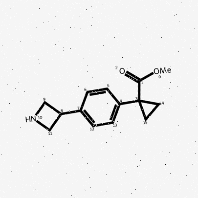 COC(=O)C1(c2ccc(C3CNC3)cc2)CC1